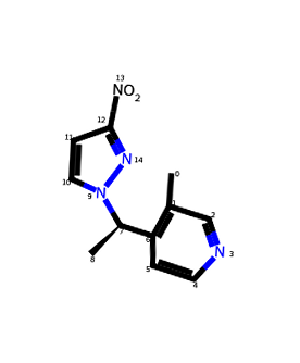 Cc1cnccc1[C@@H](C)n1ccc([N+](=O)[O-])n1